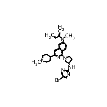 C=CC(=C)N(C)c1ccc2c(N3CC[C@@H](Nc4ncc(Br)cn4)C3)nc(C3CCN(C)CC3)cc2c1